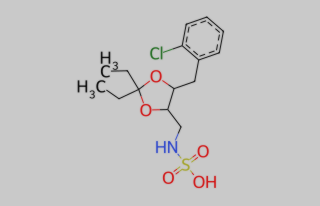 CCC1(CC)OC(CNS(=O)(=O)O)C(Cc2ccccc2Cl)O1